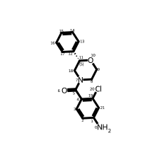 Nc1ccc(C(=O)N2CCO[C@@H](c3ccccc3)C2)c(Cl)c1